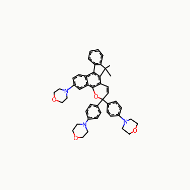 CC1(C)c2ccccc2-c2c1c1c(c3cc(N4CCOCC4)ccc23)OC(c2ccc(N3CCOCC3)cc2)(c2ccc(N3CCOCC3)cc2)C=C1